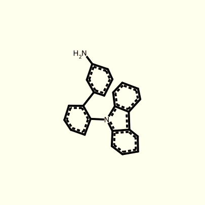 Nc1cccc(-c2ccccc2-n2c3ccccc3c3ccccc32)c1